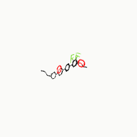 CCCC1CCC(C2CC=C(c3ccc(-c4ccc(OCC)c(F)c4F)cc3)CO2)CC1